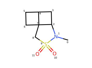 CN1C2CC3CCC32CS1(=O)=O